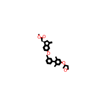 C=C1C[C@H](CC(=O)OC)c2ccc(OCc3cccc(-c4c(C)cc(OC5CCOC5)cc4C)c3)cc21